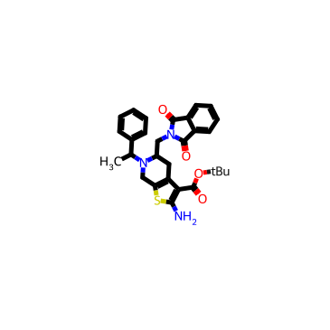 CC(c1ccccc1)N1Cc2sc(N)c(C(=O)OC(C)(C)C)c2CC1CN1C(=O)c2ccccc2C1=O